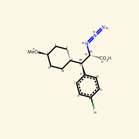 CO[C@H]1CC[C@H]([C@H](c2ccc(F)cc2)[C@H](N=[N+]=[N-])C(=O)O)CC1